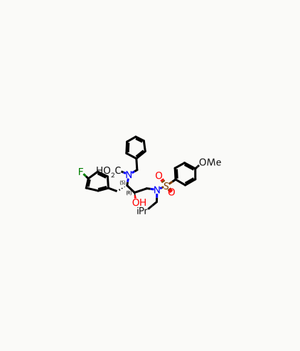 COc1ccc(S(=O)(=O)N(CC(C)C)C[C@@H](O)[C@H](Cc2ccc(F)cc2)N(Cc2ccccc2)C(=O)O)cc1